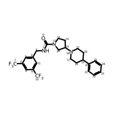 O=C(NCc1cc(C(F)(F)F)cc(C(F)(F)F)c1)N1CCC(N2CCC(c3ccccc3)CC2)C1